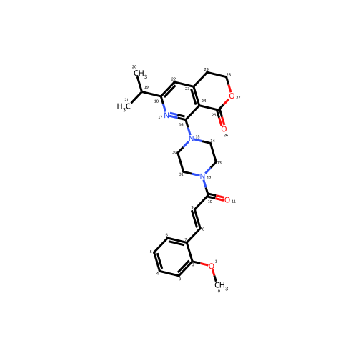 COc1ccccc1C=CC(=O)N1CCN(c2nc(C(C)C)cc3c2C(=O)OCC3)CC1